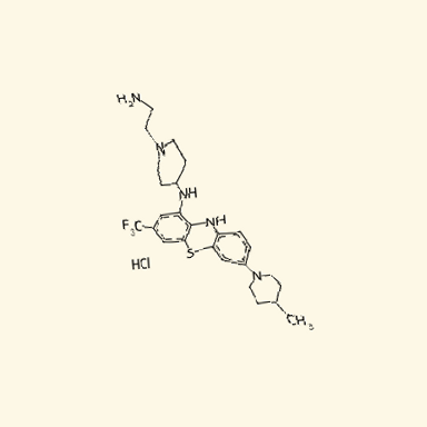 CC1CCN(c2ccc3c(c2)Sc2cc(C(F)(F)F)cc(NC4CCN(CCN)CC4)c2N3)CC1.Cl